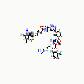 NCCCC[C@H](NC(=O)c1cccc(-n2cc(CNC(=O)CCCC[C@@H]3SC[C@@H]4CC(=O)N[C@@H]43)nn2)c1)C(=O)COc1c(F)cccc1F